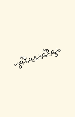 C=CC(=O)OCC(O)COCCCCCOCC(O)COC(=O)C=C